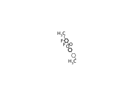 CCCc1ccc(C(=O)Oc2ccc([C@H]3CC[C@H](CC)CC3)cc2)c(F)c1F